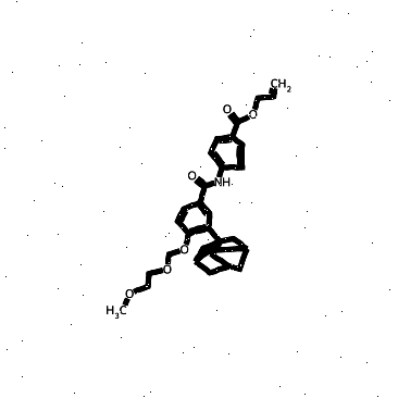 C=CCOC(=O)c1ccc(NC(=O)c2ccc(OCOCCOC)c(C34CC5CC(CC(C5)C3)C4)c2)cc1